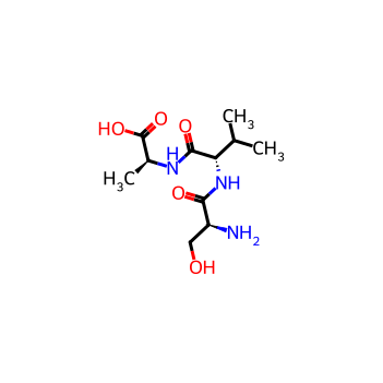 CC(C)[C@H](NC(=O)[C@@H](N)CO)C(=O)N[C@@H](C)C(=O)O